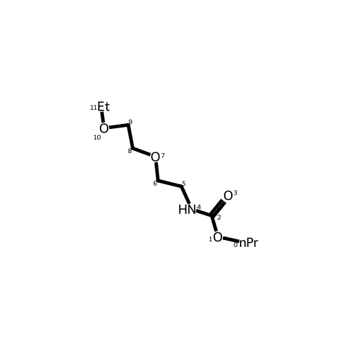 CCCOC(=O)NCCOCCOCC